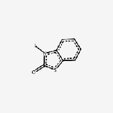 O=c1sc2ccccc2n1I